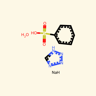 O.O=S(=O)(O)c1ccccc1.[NaH].c1nnn[nH]1